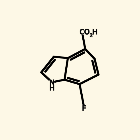 O=C(O)c1ccc(F)c2[nH]ccc12